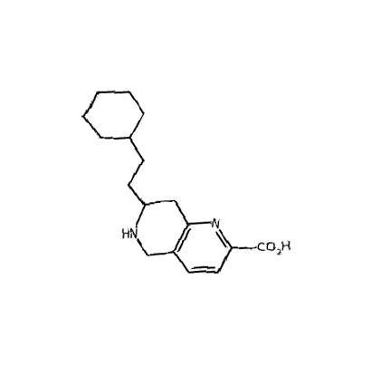 O=C(O)c1ccc2c(n1)CC(CCC1CCCCC1)NC2